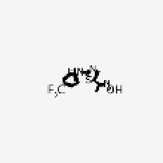 CC(=NO)c1cnc(Nc2ccc(C(F)(F)F)cc2)s1